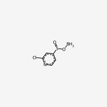 BOS(=O)c1ccnc(Cl)c1